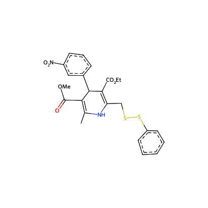 CCOC(=O)C1=C(CSSc2ccccc2)NC(C)=C(C(=O)OC)C1c1cccc([N+](=O)[O-])c1